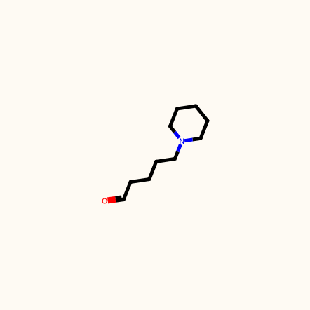 O=CCCCCN1CCCCC1